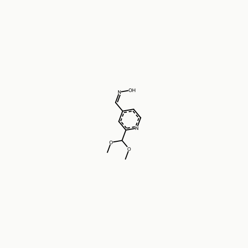 COC(OC)c1cc(/C=N\O)ccn1